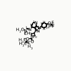 CN(C)C=Nc1ccnc2c1c(C1CN(C(=O)OC(C)(C)C)C1)nn2-c1ccc(OC(F)(F)F)cc1